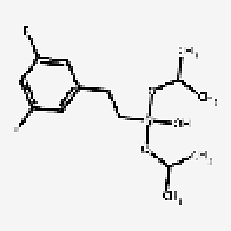 CC(C)O[Si](O)(CCc1cc(F)cc(F)c1)OC(C)C